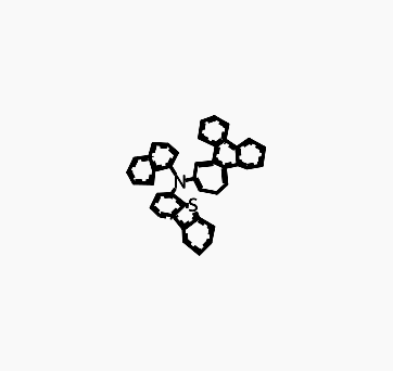 C1=C(N(c2cccc3ccccc23)c2cccc3c2sc2ccccc23)C=c2c(c3ccccc3c3ccccc23)=CC1